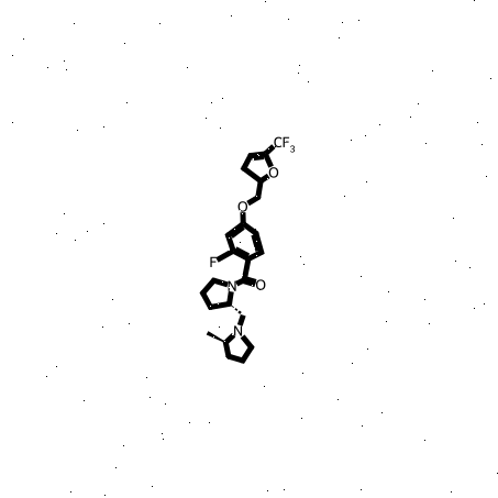 C[C@@H]1CCCN1C[C@@H]1CCCN1C(=O)c1ccc(OCC2CC=C(C(F)(F)F)O2)cc1F